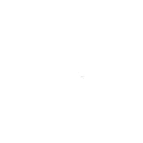 C=C(/C=C1/CCCC/C1=C/NC)c1ccc(C)cc1C